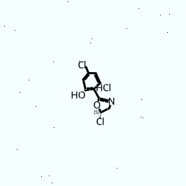 Cl.Oc1cc(Cl)ccc1C1=NC[C@H](Cl)O1